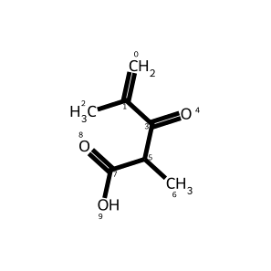 C=C(C)C(=O)C(C)C(=O)O